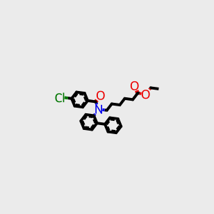 CCOC(=O)CCCCCN(C(=O)c1ccc(Cl)cc1)c1ccccc1-c1ccccc1